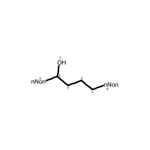 CCCCCCCCCCCCC(O)CCCCCCCCC